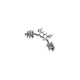 COc1cc2cc(OC)c(C#CC(F)(F)C(F)(F)C(F)(F)F)cc2cc1C#CC(F)(F)C(F)(F)C(F)(F)F